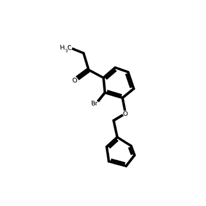 CCC(=O)c1cccc(OCc2ccccc2)c1Br